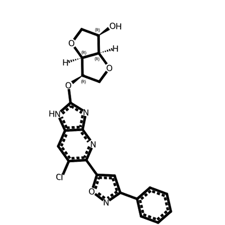 O[C@@H]1CO[C@H]2[C@@H]1OC[C@H]2Oc1nc2nc(-c3cc(-c4ccccc4)no3)c(Cl)cc2[nH]1